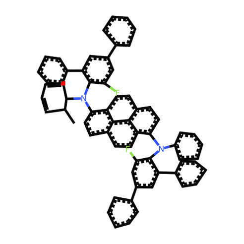 CC1C=CC=CC1N(c1c(F)cc(-c2ccccc2)cc1-c1ccccc1)c1ccc2ccc3c(N(c4ccccc4)c4c(F)cc(-c5ccccc5)cc4-c4ccccc4)ccc4ccc1c2c43